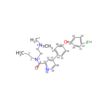 CCCN(CCN(C)C)C(=O)c1cc(-c2ccc(Oc3ccc(F)cc3)cc2)ccn1